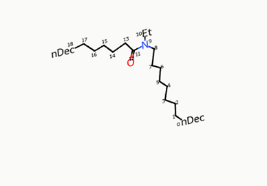 CCCCCCCCCCCCCCCCCCN(CC)C(=O)CCCCCCCCCCCCCCC